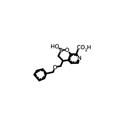 O=C(O)c1nccc2c1OB(O)CC2COCc1ccccc1